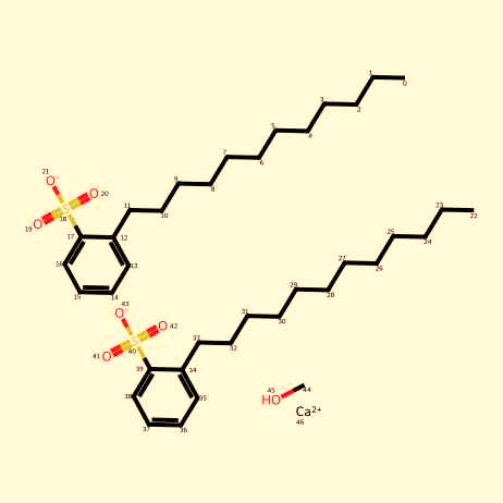 CCCCCCCCCCCCc1ccccc1S(=O)(=O)[O-].CCCCCCCCCCCCc1ccccc1S(=O)(=O)[O-].CO.[Ca+2]